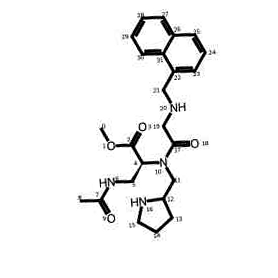 COC(=O)[C@H](CNC(C)=O)N(CC1CCCN1)C(=O)CNCc1cccc2ccccc12